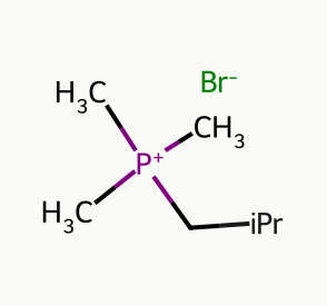 CC(C)C[P+](C)(C)C.[Br-]